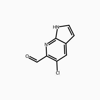 O=Cc1nc2[nH]ccc2cc1Cl